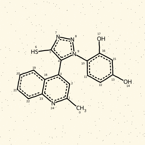 Cc1cc(-c2c(S)nnn2-c2ccc(O)cc2O)c2ccccc2n1